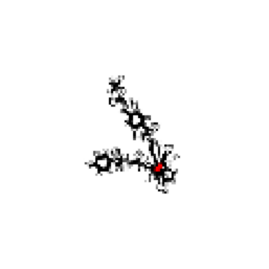 CO[C@@H]1CC[C@]23CC[C@@H](C)[C@](C)([C@H]12)[C@H](OC(=O)COS(=O)(=O)c1ccc(C)cc1)C[C@](C)(CCNC(=O)c1ccc(CNC(=O)OC(C)(C)C)cc1)C(=O)[C@@H]3C